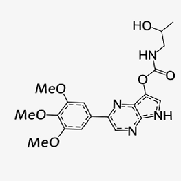 COc1cc(-c2cnc3[nH]cc(OC(=O)NCC(C)O)c3n2)cc(OC)c1OC